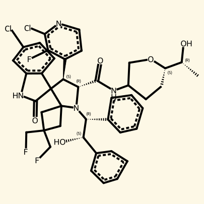 C[C@@H](O)[C@@H]1CCC(NC(=O)[C@H]2[C@H](c3ccnc(Cl)c3F)C3(C(=O)Nc4cc(Cl)ccc43)C3(CC(CF)(CF)C3)N2[C@H](c2ccccc2)[C@@H](O)c2ccccc2)CO1